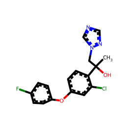 CC(O)(Cn1cncn1)c1ccc(Oc2ccc(F)cc2)cc1Cl